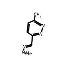 CNN=Cc1ccc(C(F)(F)F)nn1